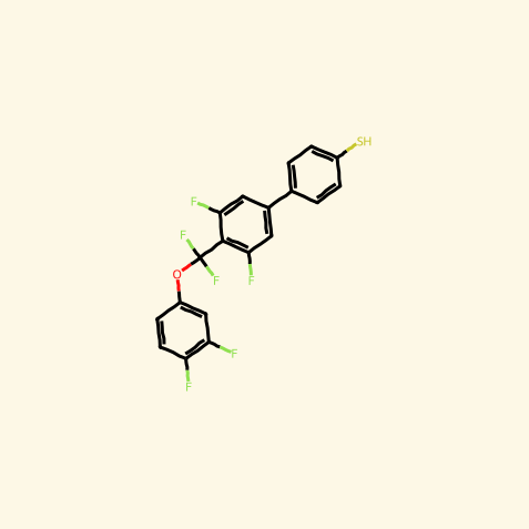 Fc1ccc(OC(F)(F)c2c(F)cc(-c3ccc(S)cc3)cc2F)cc1F